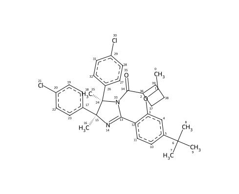 CCOc1cc(C(C)(C)C)ccc1C1=N[C@@](C)(c2ccc(Cl)cc2)[C@@](C)(c2ccc(Cl)cc2)N1C(=O)C1CCC1